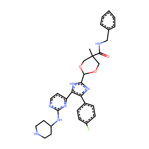 CC1(C(=O)NCc2ccccc2)COC(c2nc(-c3ccc(F)cc3)c(-c3ccnc(NC4CCNCC4)n3)[nH]2)OC1